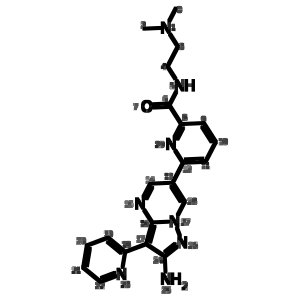 CN(C)CCNC(=O)c1cccc(-c2cnc3c(-c4ccccn4)c(N)nn3c2)n1